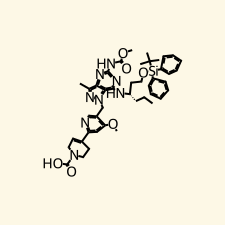 CCC[C@@H](CCO[Si](c1ccccc1)(c1ccccc1)C(C)(C)C)Nc1nc(NC(=O)OC)nc2c(C)nn(Cc3cnc(C4=CCN(C(=O)O)CC4)cc3OC)c12